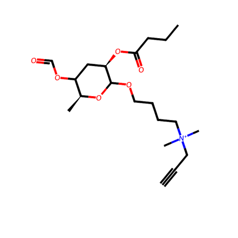 C#CC[N+](C)(C)CCCCOC1O[C@@H](C)C(OC=O)C[C@H]1OC(=O)CCC